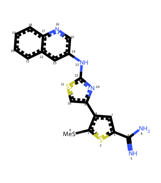 CSc1sc(C(=N)N)cc1-c1csc(Nc2cnc3ccccc3c2)n1